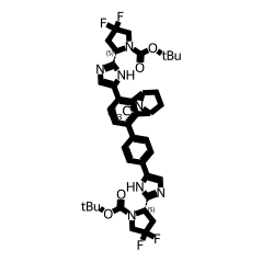 CN1C2CCC1c1c(-c3cnc([C@@H]4CC(F)(F)CN4C(=O)OC(C)(C)C)[nH]3)ccc(-c3ccc(-c4cnc([C@@H]5CC(F)(F)CN5C(=O)OC(C)(C)C)[nH]4)cc3)c12